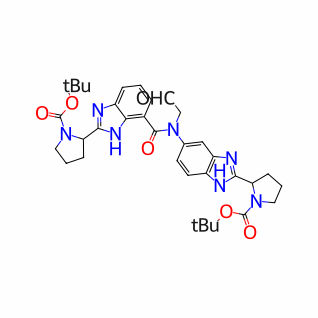 CC(C)(C)OC(=O)N1CCCC1c1nc2cc(N(CC=O)C(=O)c3cccc4nc(C5CCCN5C(=O)OC(C)(C)C)[nH]c34)ccc2[nH]1